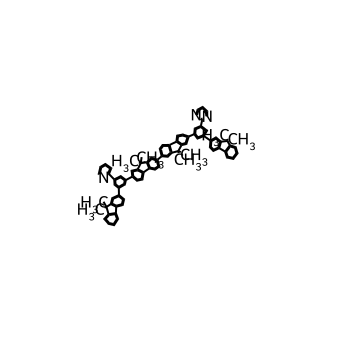 CC1(C)c2ccccc2-c2ccc(-c3cc(-c4ccc5c(c4)C(C)(C)c4cc(-c6ccc7c(c6)C(C)(C)c6cc(-c8cc(-c9ccc%10c(c9)C(C)(C)c9ccccc9-%10)cc(-c9ncccn9)c8)ccc6-7)ccc4-5)cc(-c4ccccn4)c3)cc21